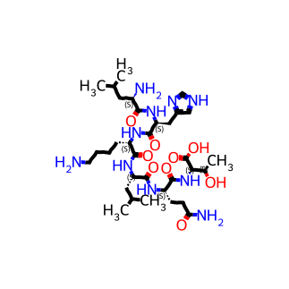 CC(C)C[C@H](NC(=O)[C@H](CCCCN)NC(=O)[C@H](Cc1c[nH]cn1)NC(=O)[C@@H](N)CC(C)C)C(=O)N[C@@H](CCC(N)=O)C(=O)N[C@H](C(=O)O)[C@@H](C)O